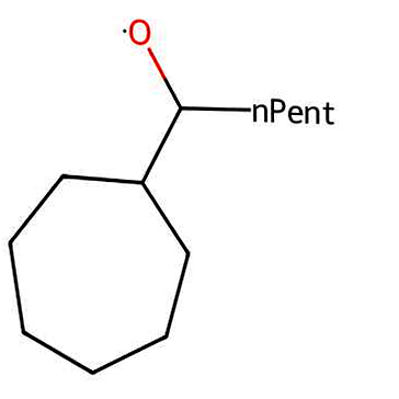 CCCCCC([O])C1CCCCCC1